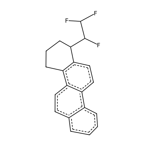 FC(F)C(F)C1CCCc2c1ccc1c2ccc2ccccc21